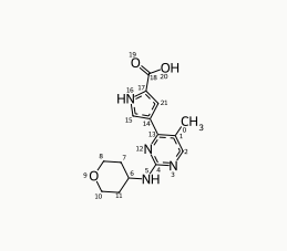 Cc1cnc(NC2CCOCC2)nc1-c1c[nH]c(C(=O)O)c1